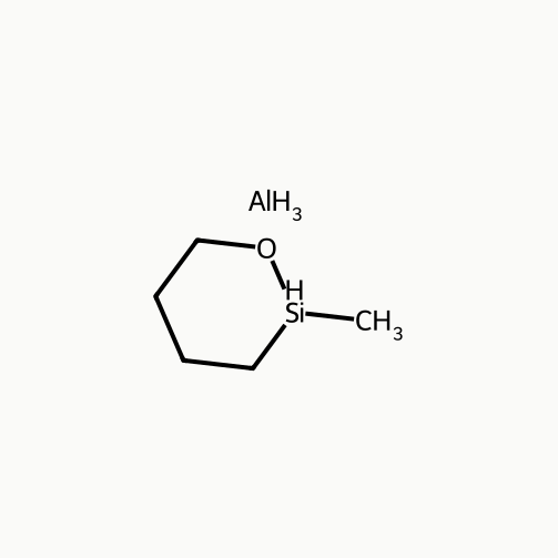 C[SiH]1CCCCO1.[AlH3]